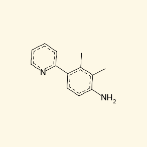 Cc1c(N)ccc(-c2ccccn2)c1C